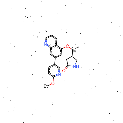 CCOc1ccc(-c2cc(O[C@H](C)C3CNC(=O)C3)c3cccnc3c2)cn1